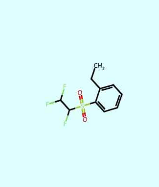 CCc1ccccc1S(=O)(=O)C(F)C(F)F